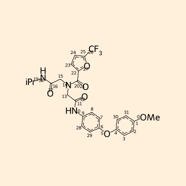 COc1ccc(Oc2ccc(NC(=O)CN(CC(=O)NC(C)C)C(=O)c3ccc(C(F)(F)F)o3)cc2)cc1